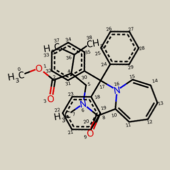 COC(=O)C(CN(C)C(=O)C1=CC=CC=CN1C(c1ccccc1)(c1ccccc1)c1ccccc1)C(C)C